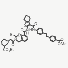 CCOC(=O)C1CCCN(CC(=O)N(Cc2cccc(C(=O)Nc3sc4c(c3C(=O)Nc3ccc(CCc5ccc(C(=O)OC)cc5)cc3)CCCC4)c2)C(CC)CC)C1